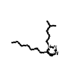 CCCCCCCc1cnnn1CCCC(C)C